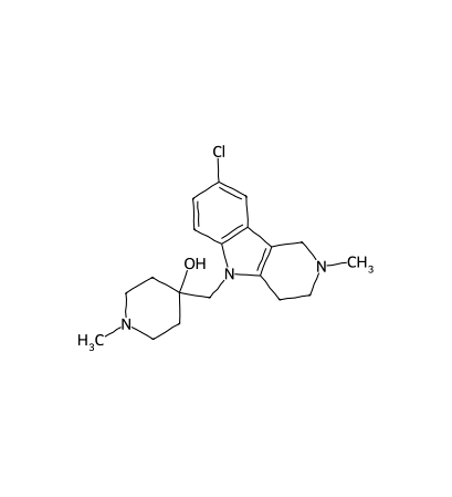 CN1CCC(O)(Cn2c3c(c4cc(Cl)ccc42)CN(C)CC3)CC1